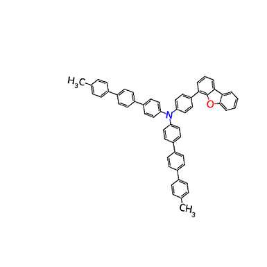 Cc1ccc(-c2ccc(-c3ccc(N(c4ccc(-c5ccc(-c6ccc(C)cc6)cc5)cc4)c4ccc(-c5cccc6c5oc5ccccc56)cc4)cc3)cc2)cc1